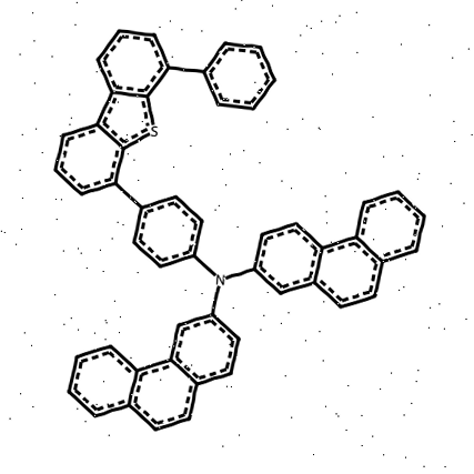 c1ccc(-c2cccc3c2sc2c(-c4ccc(N(c5ccc6c(ccc7ccccc76)c5)c5ccc6ccc7ccccc7c6c5)cc4)cccc23)cc1